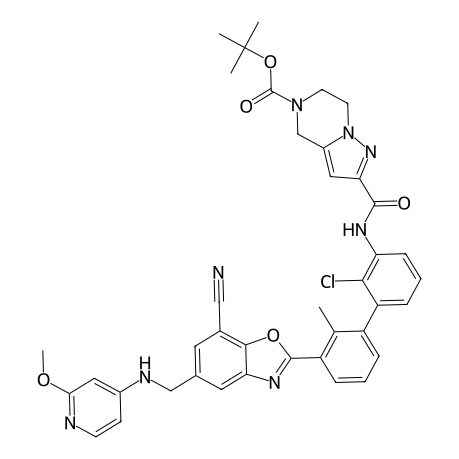 COc1cc(NCc2cc(C#N)c3oc(-c4cccc(-c5cccc(NC(=O)c6cc7n(n6)CCN(C(=O)OC(C)(C)C)C7)c5Cl)c4C)nc3c2)ccn1